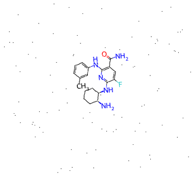 Cc1cccc(Nc2nc(N[C@@H]3CCCC[C@@H]3N)c(F)cc2C(N)=O)c1